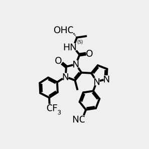 Cc1c(-c2ccnn2-c2ccc(C#N)cc2)n(C(=O)N[C@@H](C)C=O)c(=O)n1-c1cccc(C(F)(F)F)c1